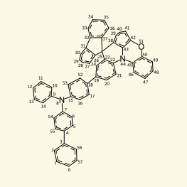 c1ccc(-c2ccc(N(c3ccccc3)c3ccc(-c4ccc5c(c4)C4(c6ccccc6-c6ccccc64)c4cccc6c4N5c4ccccc4O6)cc3)cc2)cc1